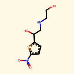 O=[N+]([O-])c1ccc(C(O)CNCCO)s1